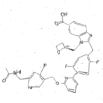 CC(=O)NCc1cc(F)c(COc2cccc(-c3cc(F)c(Cc4nc5ccc(C(=O)O)cc5n4C[C@@H]4CCO4)cc3F)n2)cn1